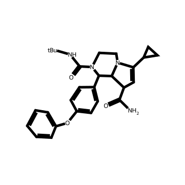 CC(C)(C)NC(=O)N1CCN2C(C3CC3)=CC(C(N)=O)C2C1c1ccc(Oc2ccccc2)cc1